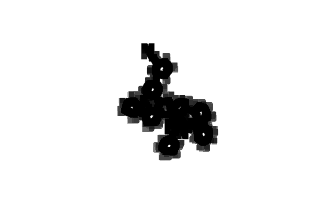 N#Cc1cccc(-c2ccc(-n3c4ccccc4c4ccccc43)c(-c3ccc(-c4nc(-c5ccccc5)nc(-n5c6ccccc6c6cccc(-c7ccccc7)c65)n4)cc3)c2)c1